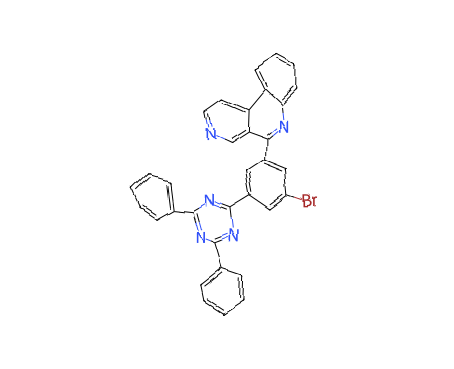 Brc1cc(-c2nc(-c3ccccc3)nc(-c3ccccc3)n2)cc(-c2nc3ccccc3c3ccncc23)c1